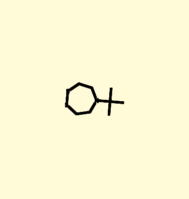 CC(C)(C)N1CCSSCC1